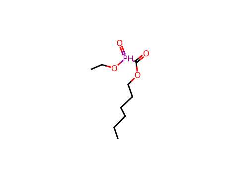 CCCCCCOC(=O)[PH](=O)OCC